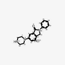 Cl.O=C1c2cc(N3CCNCC3)ccc2CN1c1ccccc1